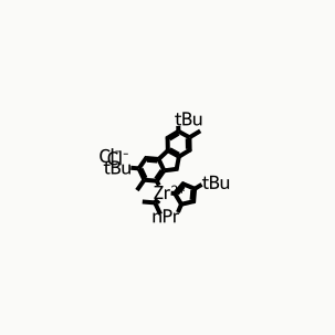 CCCC1C=C(C(C)(C)C)C=[C]1[Zr+2](=[C](C)C)[c]1c(C)c(C(C)(C)C)cc2c1Cc1cc(C)c(C(C)(C)C)cc1-2.[Cl-].[Cl-]